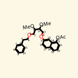 COC(COCCc1ccccc1)C(COc1ccc2cccc(OC(C)=O)c2c1)OC